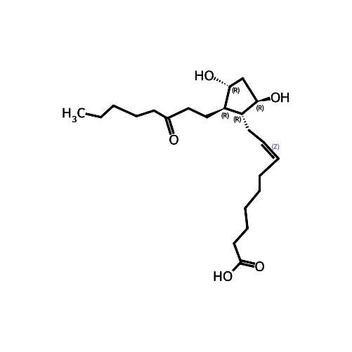 CCCCCC(=O)CC[C@@H]1[C@@H](C/C=C\CCCCCC(=O)O)[C@H](O)C[C@H]1O